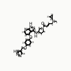 CN(CC=CC(=O)N1CCC(Nc2n[nH]c3nccc(Oc4ccc(OCc5cnn[nH]5)cc4)c23)C1)C1CC1